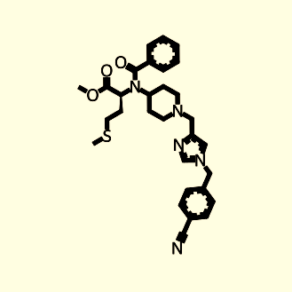 COC(=O)[C@H](CCSC)N(C(=O)c1ccccc1)C1CCN(Cc2cn(Cc3ccc(C#N)cc3)cn2)CC1